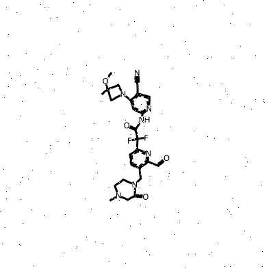 COC1(C)CN(c2cc(NC(=O)C(F)(F)c3ccc(CN4CCN(C)CC4=O)c(C=O)n3)ncc2C#N)C1